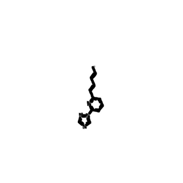 [CH2]/C=C/C=C/c1cccc(-n2cncn2)n1